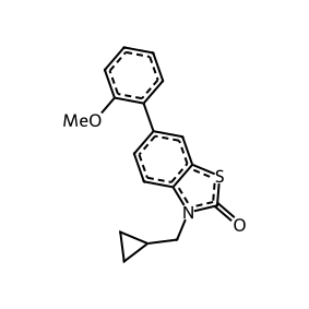 COc1ccccc1-c1ccc2c(c1)sc(=O)n2CC1CC1